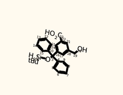 CC(C)(C)[SiH2]OC(c1ccccc1)(c1ccccc1)c1cc(CO)cc(C(=O)O)c1